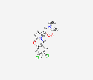 CCC(C)N(C[C@H](O)[C@@H]1CCC(=O)N1Cc1ccc(Cl)c(Cl)c1)C(C)CC